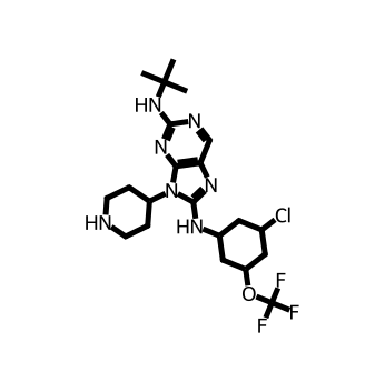 CC(C)(C)Nc1ncc2nc(NC3CC(Cl)CC(OC(F)(F)F)C3)n(C3CCNCC3)c2n1